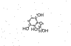 O=[PH](O)O.Oc1ccc(O)cc1